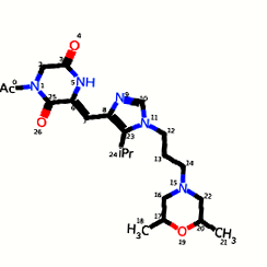 CC(=O)N1CC(=O)N/C(=C\c2ncn(CCCN3CC(C)OC(C)C3)c2C(C)C)C1=O